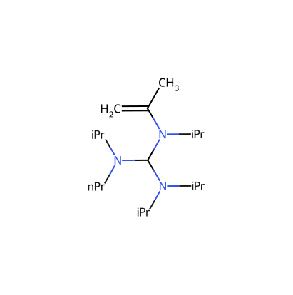 C=C(C)N(C(C)C)C(N(CCC)C(C)C)N(C(C)C)C(C)C